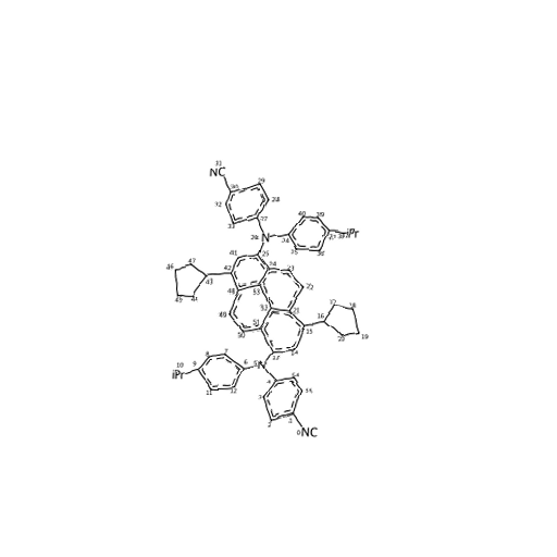 [C-]#[N+]c1ccc(N(c2ccc(C(C)C)cc2)c2cc(C3CCCC3)c3ccc4c(N(c5ccc(C#N)cc5)c5ccc(C(C)C)cc5)cc(C5CCCC5)c5ccc2c3c54)cc1